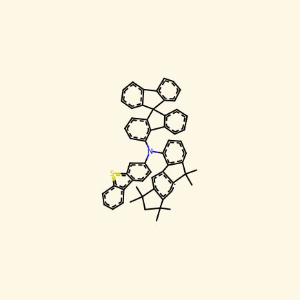 CC1(C)CC(C)(C)c2cc3c(cc21)-c1c(N(c2ccc4c(c2)sc2ccccc24)c2cccc4c2-c2ccccc2C42c4ccccc4-c4ccccc42)cccc1C3(C)C